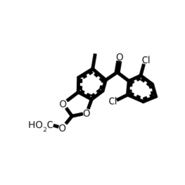 Cc1cc2c(cc1C(=O)c1c(Cl)cccc1Cl)OC(OC(=O)O)O2